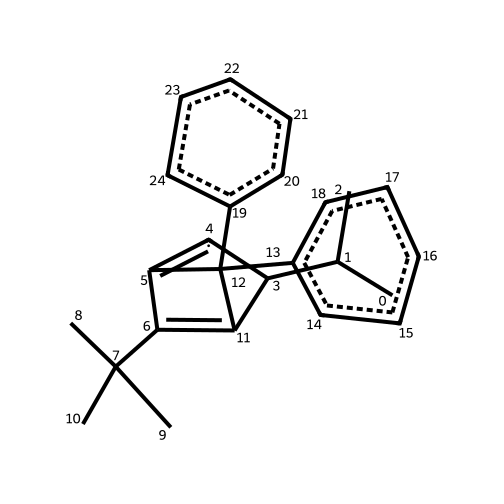 CC(C)C1[C]=C2C(C(C)(C)C)=C1C2(c1ccccc1)c1ccccc1